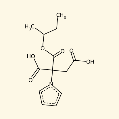 CCC(C)OC(=O)C(CC(=O)O)(C(=O)O)n1cccc1